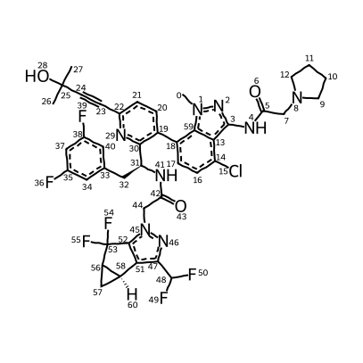 Cn1nc(NC(=O)CN2CCCC2)c2c(Cl)ccc(-c3ccc(C#CC(C)(C)O)nc3[C@H](Cc3cc(F)cc(F)c3)NC(=O)Cn3nc(C(F)F)c4c3C(F)(F)C3C[C@H]43)c21